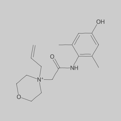 C=CC[N+]1(CC(=O)Nc2c(C)cc(O)cc2C)CCOCC1